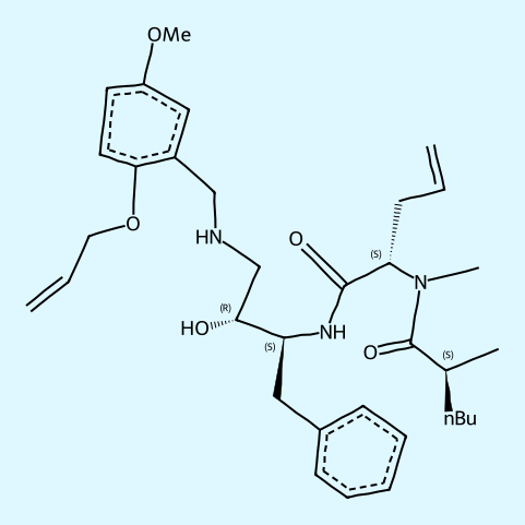 C=CCOc1ccc(OC)cc1CNC[C@@H](O)[C@H](Cc1ccccc1)NC(=O)[C@H](CC=C)N(C)C(=O)[C@@H](C)CCCC